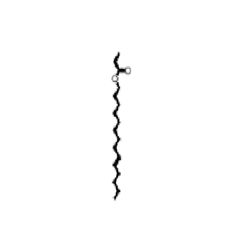 CCCC/C=C/CCCCCCCCOC(=O)CC